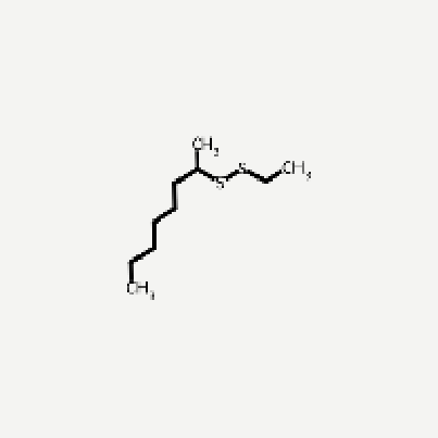 CCCCCCC(C)SSCC